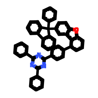 c1ccc(-c2nc(-c3ccccc3)nc(-c3ccc(-c4cccc5oc6ccc(C7(c8ccccc8)c8ccccc8-c8ccccc87)cc6c45)cc3)n2)cc1